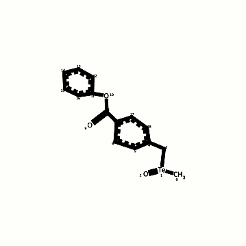 C[Te](=O)Cc1ccc(C(=O)Oc2ccccc2)cc1